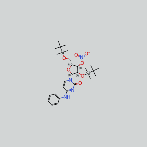 CC(C)(C)[Si](C)(C)OC[C@H]1O[C@@H](n2ccc(Nc3ccccc3)nc2=O)[C@H](O[Si](C)(C)C(C)(C)C)[C@@H]1O[N+](=O)[O-]